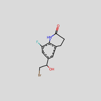 O=C1CCc2cc(C(O)CBr)cc(F)c2N1